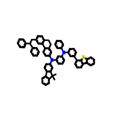 CC1(C)c2ccccc2-c2ccc(N(c3cccc(N(c4ccccc4)c4cccc(-c5cccc6c5sc5ccccc56)c4)c3)c3ccc4c(c3)CCc3ccc(CC(c5ccccc5)c5ccccc5)cc3-4)cc21